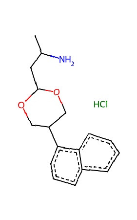 CC(N)CC1OCC(c2cccc3ccccc23)CO1.Cl